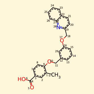 Cc1cc(C(=O)O)ccc1OCc1cccc(OCc2ccc3ccccc3n2)c1